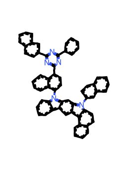 c1ccc(-c2nc(-c3ccc4ccccc4c3)nc(-c3ccc(-n4c5ccccc5c5cc6c7c8ccccc8ccc7n(-c7ccc8ccccc8c7)c6cc54)c4ccccc34)n2)cc1